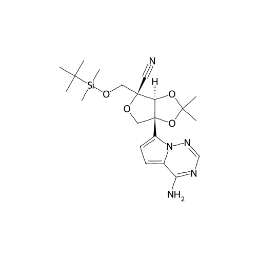 CC1(C)O[C@@H]2[C@@](C#N)(CO[Si](C)(C)C(C)(C)C)OC[C@@]2(c2ccc3c(N)ncnn23)O1